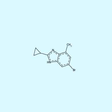 Cc1cc(Br)cc2[nH]c(C3CC3)nc12